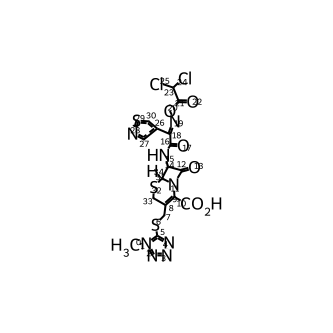 Cn1nnnc1SCC1=C(C(=O)O)N2C(=O)C(NC(=O)/C(=N/OC(=O)C(Cl)Cl)c3cnsc3)[C@H]2SC1